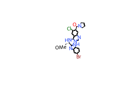 COC[C@H](Nc1ncnc2cc(C(=O)N3CC=CC3)c(Cl)cc12)c1nc2cc(Br)ccc2[nH]1